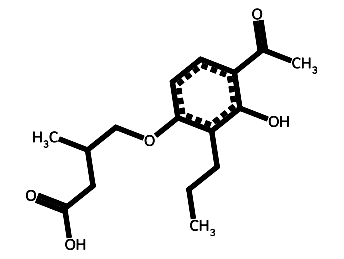 CCCc1c(OCC(C)CC(=O)O)ccc(C(C)=O)c1O